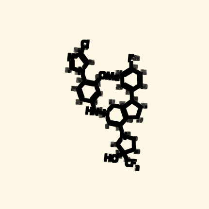 COc1cc(NN2C=C(N3CCC(O)(C(F)(F)F)C3)C3=C(C2)C(c2ccc(F)cc2)CC3)ccc1-n1cnc(Cl)c1